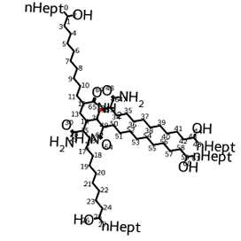 CCCCCCCC(O)CCCCCCCCCC(CC(C(CCCCCCCCCC(O)CCCCCCC)C(N)=O)C(CC(CCCCCCCCCC(O)CCCCCCC)C(N)=O)C(CCCCCCCCCC(O)CCCCCCC)C(N)=O)C(N)=O